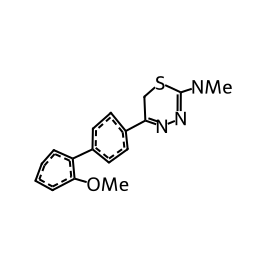 CNC1=NN=C(c2ccc(-c3ccccc3OC)cc2)CS1